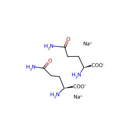 NC(=O)CC[C@H](N)C(=O)[O-].NC(=O)CC[C@H](N)C(=O)[O-].[Na+].[Na+]